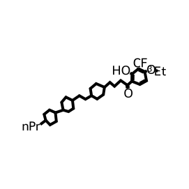 CCCC1CCC(C2CCC(CCC3CCC(CCCC(=O)c4ccc(OCC)c(C(F)(F)F)c4O)CC3)CC2)CC1